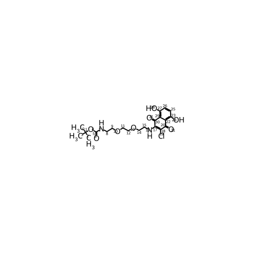 CC(C)(C)OC(=O)NCCOCCOCCNC1=C(Cl)C(=O)c2c(O)ccc(O)c2C1=O